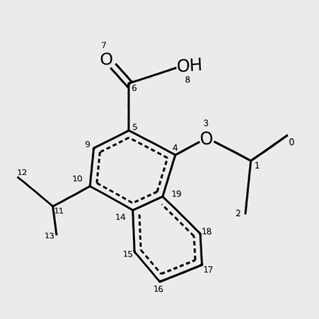 CC(C)Oc1c(C(=O)O)cc(C(C)C)c2ccccc12